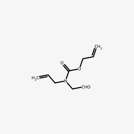 C=CCOC(=O)N(CC=C)CC=O